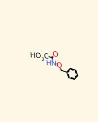 O=C(O)C(=O)NOCc1ccccc1